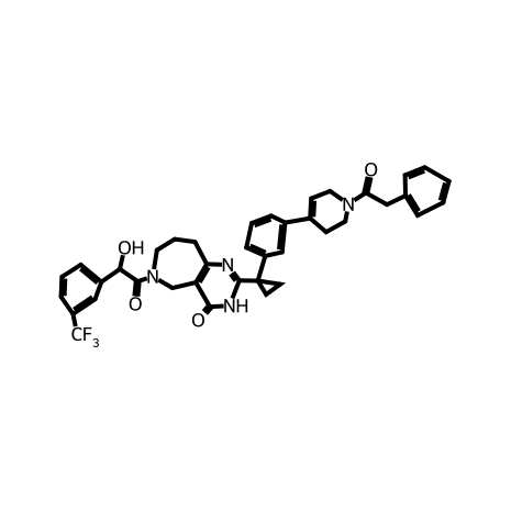 O=C(Cc1ccccc1)N1CC=C(c2cccc(C3(c4nc5c(c(=O)[nH]4)CN(C(=O)C(O)c4cccc(C(F)(F)F)c4)CCC5)CC3)c2)CC1